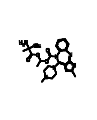 Cc1cc2c(s1)=Nc1ccccc1N(C(=O)OC(C)OC(=O)C(C)(N)C(C)(C)C)C=2N1CCN(C)CC1